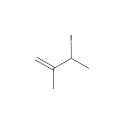 C=C(C)C(C)I